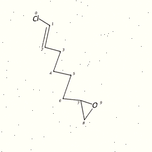 Cl/C=C/CCCCC1CO1